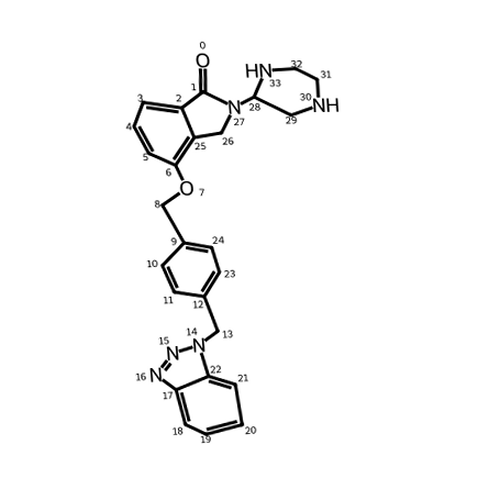 O=C1c2cccc(OCc3ccc(Cn4nnc5ccccc54)cc3)c2CN1C1CNCCN1